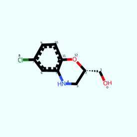 OC[C@@H]1CNc2cc(Cl)ccc2O1